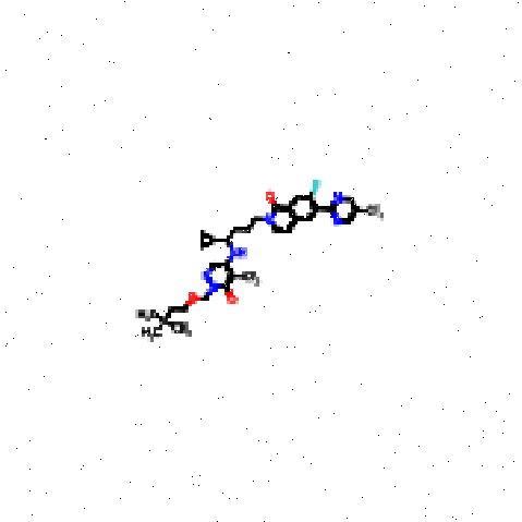 C[Si](C)(C)CCOCn1ncc(N[C@H](CCCn2ccc3cc(-c4ncc(C(F)(F)F)cn4)c(F)cc3c2=O)C2CC2)c(C(F)(F)F)c1=O